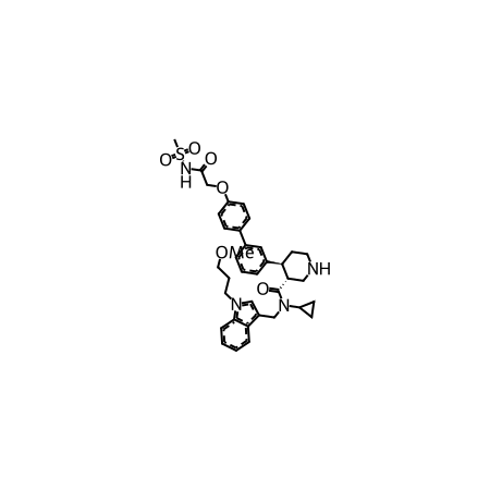 COCCCn1cc(CN(C(=O)[C@H]2CNCC[C@@H]2c2cccc(-c3ccc(OCC(=O)NS(C)(=O)=O)cc3)c2)C2CC2)c2ccccc21